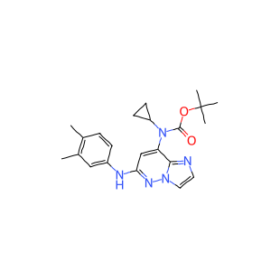 Cc1ccc(Nc2cc(N(C(=O)OC(C)(C)C)C3CC3)c3nccn3n2)cc1C